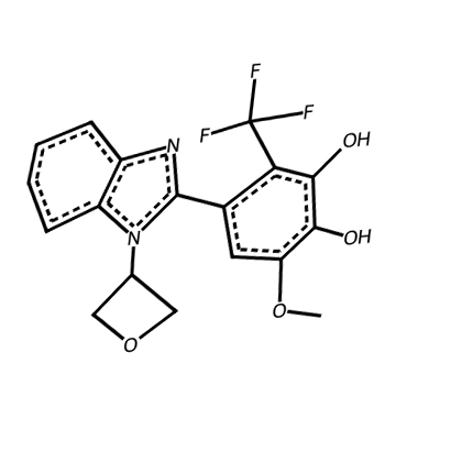 COc1cc(-c2nc3ccccc3n2C2COC2)c(C(F)(F)F)c(O)c1O